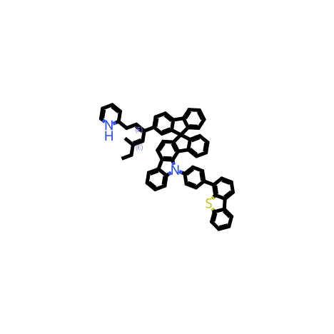 CC/C(C)=C/C(=C\CC1C=CC=CN1)c1ccc2c(c1)C1(c3ccccc3-2)c2ccccc2-c2c1ccc1c3ccccc3n(-c3ccc(-c4cccc5c4sc4ccccc45)cc3)c21